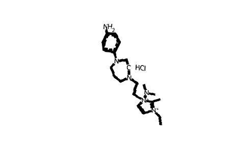 CC[N+]1=C(C)[N+](CCN2CCCN(c3ccc(N)cc3)CC2)(N(C)C)C=C1.Cl